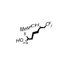 CNC.O=S(=O)(O)C(F)CCCCCC(F)(F)F